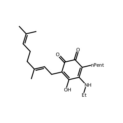 CCCCCC1=C(NCC)C(O)=C(C/C=C(\C)CCC=C(C)C)C(=O)C1=O